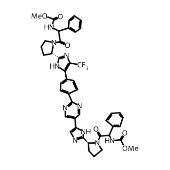 COC(=O)NC(C(=O)N1CCC[C@H]1c1ncc(-c2cnc(-c3ccc(-c4[nH]c([C@@H]5CCCN5C(=O)C(NC(=O)OC)c5ccccc5)nc4C(F)(F)F)cc3)nc2)[nH]1)c1ccccc1